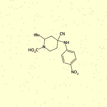 CC(C)(C)C1CC(C#N)(Nc2ccc([N+](=O)[O-])cc2)CCN1C(=O)O